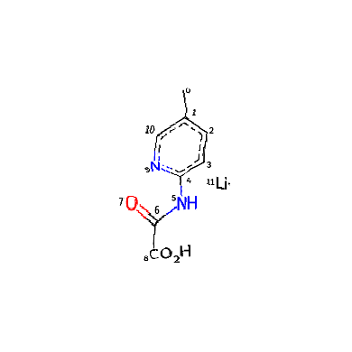 Cc1ccc(NC(=O)C(=O)O)nc1.[Li]